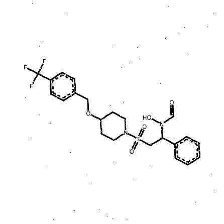 O=CN(O)C(CS(=O)(=O)N1CCC(OCc2ccc(C(F)(F)F)cc2)CC1)c1ccccc1